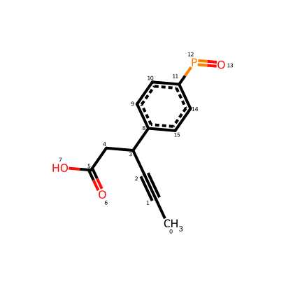 CC#CC(CC(=O)O)c1ccc(P=O)cc1